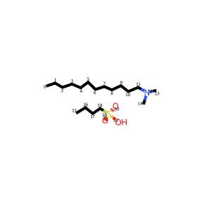 CCCCCCCCCCCCN(C)C.CCCCS(=O)(=O)O